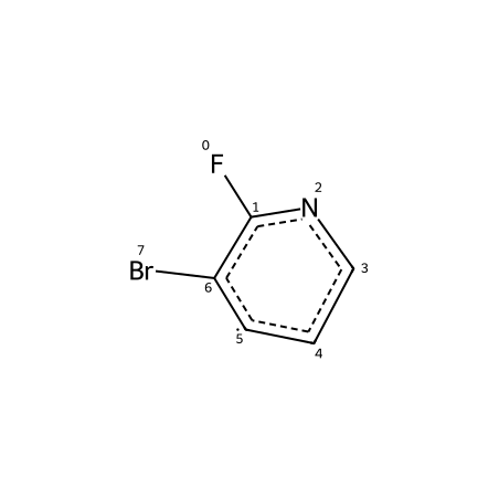 Fc1ncc[c]c1Br